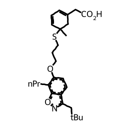 CCCc1c(OCCCSC2(C)C=CC=C(CC(=O)O)C2)ccc2c(CC(C)(C)C)noc12